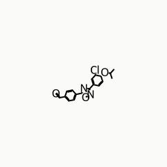 CC(C)OC1C=CC(c2noc(-c3ccc(C=O)cc3)n2)=CC1Cl